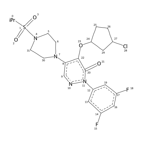 CC(C)S(=O)(=O)N1CCN(c2cnn(-c3cc(F)cc(F)c3)c(=O)c2OC2CCC(Cl)C2)CC1